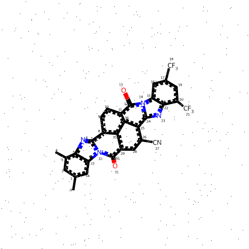 Cc1cc(C)c2nc3c4ccc5c(=O)n6c7cc(C(F)(F)F)cc(C(F)(F)F)c7nc6c6c(C#N)cc(c(=O)n3c2c1)c4c56